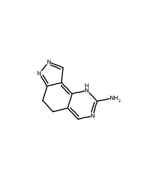 NC1=NC=C2CCC3=NN=CC3=C2N1